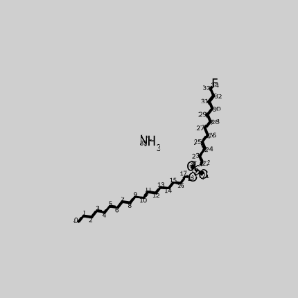 CCCCCCCCCCCCCCCCCCOS(=O)(=O)CCCCCCCCCCCCF.N